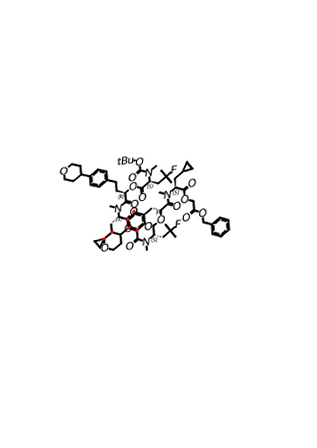 CN(C(=O)COC(=O)[C@H](CCC1CC1)N(C)C(=O)[C@@H](CCc1ccc(C2CCOCC2)cc1)OC(=O)[C@H](CC(C)(C)F)N(C)C(=O)OC(C)(C)C)[C@@H](CC(C)(C)F)C(=O)O[C@H](Cc1ccc(C2CCOCC2)cc1)C(=O)N(C)[C@@H](CC1CC1)C(=O)OCC(=O)OCc1ccccc1